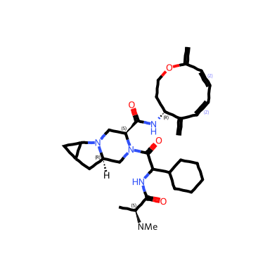 C=C1/C=C\C=C/C(=C)[C@H](NC(=O)[C@@H]2CN3C4CC4C[C@@H]3CN2C(=O)C(NC(=O)[C@H](C)NC)C2CCCCC2)CCO1